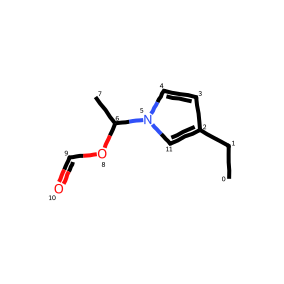 CCc1ccn(C(C)OC=O)c1